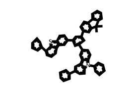 CC1(C)c2ccccc2-c2ccc(-c3cc(-c4ccc5sc6c(-c7ccccc7)cccc6c5c4)cc(-c4ccc5c(c4)c4cc(-c6ccccc6)ccc4n5-c4ccccc4)c3)cc21